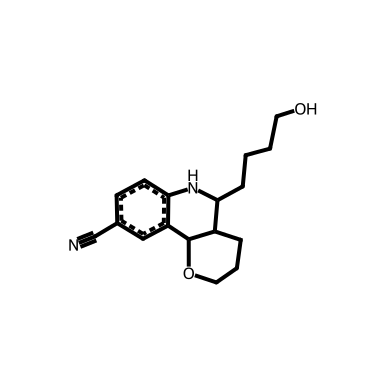 N#Cc1ccc2c(c1)C1OCCCC1C(CCCCO)N2